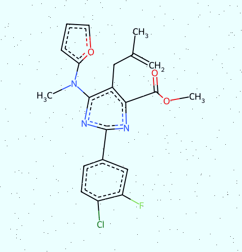 C=C(C)Cc1c(C(=O)OC)nc(-c2ccc(Cl)c(F)c2)nc1N(C)c1ccco1